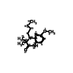 COc1ccc2c(n1)N(CCSC)C(C)(C)C(=O)N2